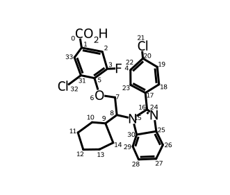 O=C(O)c1cc(F)c(OCC(C2CCCCC2)n2c(-c3ccc(Cl)cc3)nc3ccccc32)c(Cl)c1